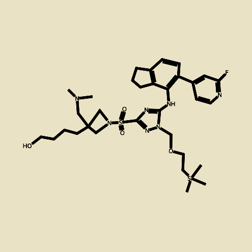 CN(C)CC1(CCCCO)CN(S(=O)(=O)c2nc(Nc3c(-c4ccnc(F)c4)ccc4c3CCC4)n(COCC[Si](C)(C)C)n2)C1